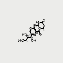 O=C1CCn2c(nc3ncc([C@H](O)[C@H](O)CO)nc3c2=O)N1